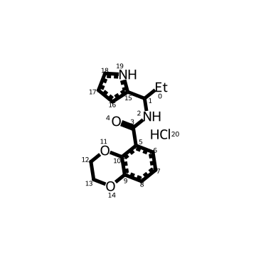 CCC(NC(=O)c1cccc2c1OCCO2)c1ccc[nH]1.Cl